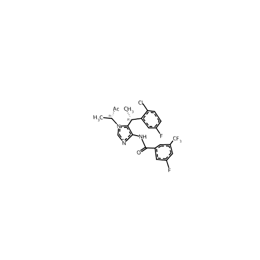 CC(=O)[C@@H](C)n1cnc(NC(=O)c2cc(F)cc(C(F)(F)F)c2)c1[C@H](C)c1cc(F)ccc1Cl